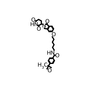 CC1(c2ccc(C(=O)NCCCCCCOc3ccc4c(c3)CN(C3CCC(=O)NC3=O)C4=O)cc2)COC1